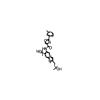 Cc1cccc(-c2nc(C(=O)Nc3cn4cc(CCC(C)(C)O)nc4cc3C(C)(C)O)co2)c1